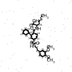 COc1ccc(CCNS(=O)(=O)c2ccc(C(=O)NC(CCSC)C(=O)O)c(-c3ccccc3)c2)cc1OC